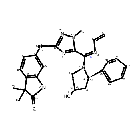 C=C/N=C(\c1nc(Nc2ccc3c(c2)NC(=O)C3(C)C)nn1C)N1C[C@H](O)C[C@@H]1c1ccccc1